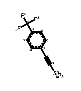 FC(F)(F)c1ccc(C#C[SiH3])cc1